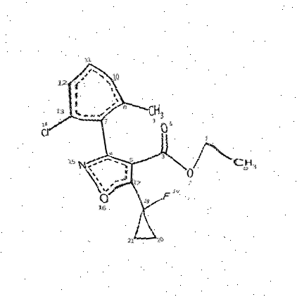 CCOC(=O)c1c(-c2c(C)cccc2Cl)noc1C1(F)CC1